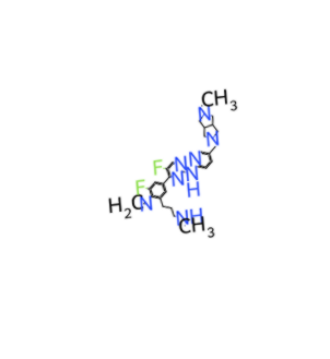 C=Nc1c(F)cc(-c2nc(Nc3ccc(CN4CC5CN(CC)CC5C4)cn3)ncc2F)cc1CCCNC